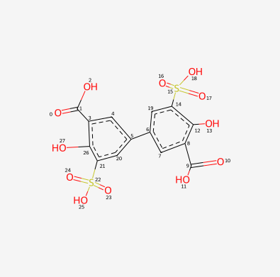 O=C(O)c1cc(-c2cc(C(=O)O)c(O)c(S(=O)(=O)O)c2)cc(S(=O)(=O)O)c1O